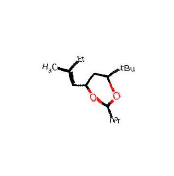 CCCC1OC(/C=C(/C)CC)CC(C(C)(C)C)O1